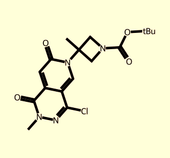 Cn1nc(Cl)c2cn(C3(C)CN(C(=O)OC(C)(C)C)C3)c(=O)cc2c1=O